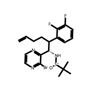 C=CCCC(c1cccc(F)c1F)[C@H](N[S@+]([O-])C(C)(C)C)c1nccnc1Br